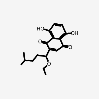 CCOC(CCC(C)C)C1=CC(=O)c2c(O)ccc(O)c2C1=O